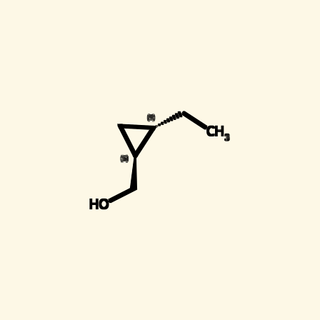 CC[C@H]1C[C@@H]1CO